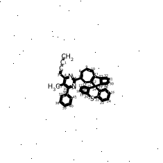 C=C=C=Cc1nc(C2=CC=CC3=C(C2)C2(c4ccccc4Sc4ccccc42)c2ccccc23)nc(-c2ccccc2)c1C